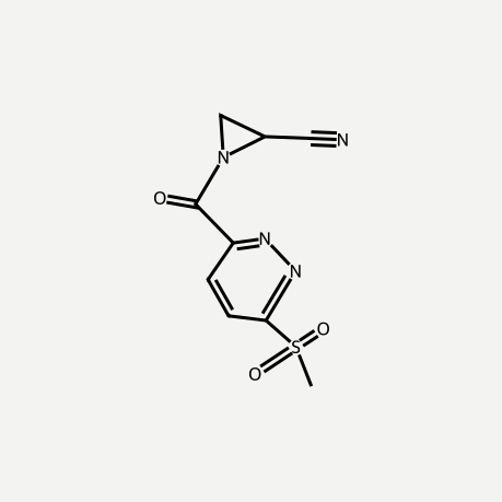 CS(=O)(=O)c1ccc(C(=O)N2CC2C#N)nn1